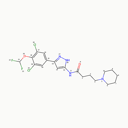 O=C(CCCN1CCCCC1)Nc1cc(-c2cc(Cl)c(OC(F)F)c(Cl)c2)n[nH]1